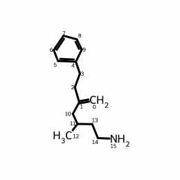 C=C(CCc1ccccc1)CC(C)CCN